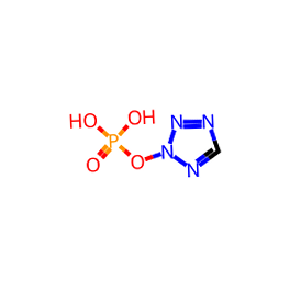 O=P(O)(O)On1ncnn1